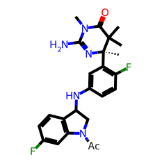 CC(=O)N1CC(Nc2ccc(F)c([C@@]3(C)N=C(N)N(C)C(=O)C3(C)C)c2)c2ccc(F)cc21